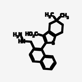 CC1(C)CCc2sc(-c3c(CNN)ccc4ccccc34)c(C(=O)O)c2C1